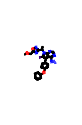 COCc1nc(C(C)n2c(I)c(-c3ccc(Oc4ccccc4)cc3)c3c(N)ncnc32)no1